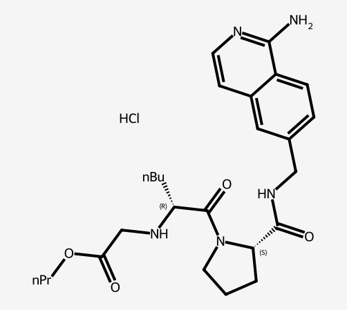 CCCC[C@@H](NCC(=O)OCCC)C(=O)N1CCC[C@H]1C(=O)NCc1ccc2c(N)nccc2c1.Cl